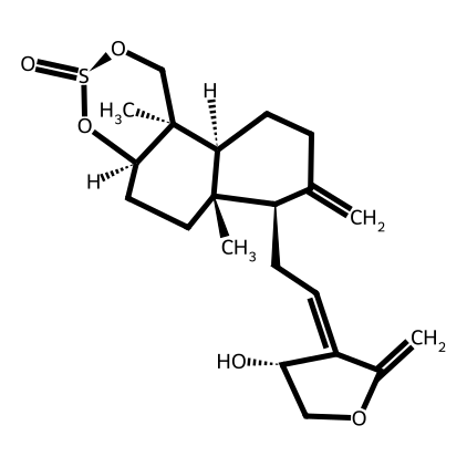 C=C1OC[C@H](O)/C1=C\C[C@@H]1C(=C)CC[C@@H]2[C@]3(C)CO[S@](=O)O[C@@H]3CC[C@]21C